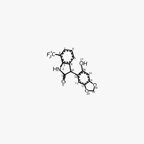 O=C1Nc2c(cccc2C(F)(F)F)C1c1cc2c(cc1O)OCO2